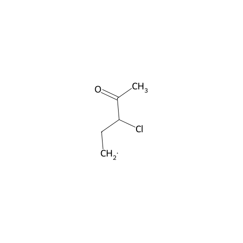 [CH2]CC(Cl)C(C)=O